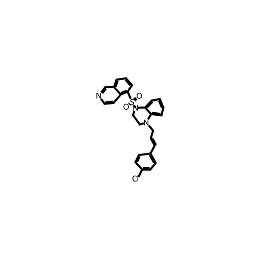 O=S(=O)(c1cccc2cnccc12)N1CCN(CC=Cc2ccc(Cl)cc2)c2ccccc21